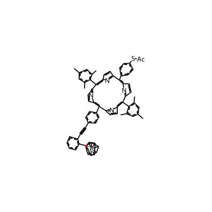 CC(=O)Sc1ccc(C2=C3C=CC(=N3)C(c3c(C)cc(C)cc3C)=C3C=CC(=N3)C(c3ccc(C#Cc4ccccc4[C]45[CH]6[CH]7[CH]8[CH]4[Fe]786549%10%11[CH]5[CH]4[CH]9[CH]%10[CH]5%11)cc3)=C3C=CC(=N3)C(c3c(C)cc(C)cc3C)=C3C=CC2=N3)cc1